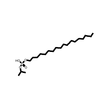 CCCCCCCCCCCCCCCCCCOP(=O)(O)OC(C)C